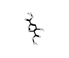 COC(=O)c1cc(C)c(C(=O)OC)nn1